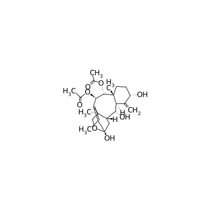 C=C1[C@@H](O)CC[C@@]2(C)[C@@H](OC(C)=O)[C@H](OC(C)=O)C3=C(C)[C@]4(O)C[C@@H]([C@@H](O)[C@H]12)[C@@]3(C)CO4